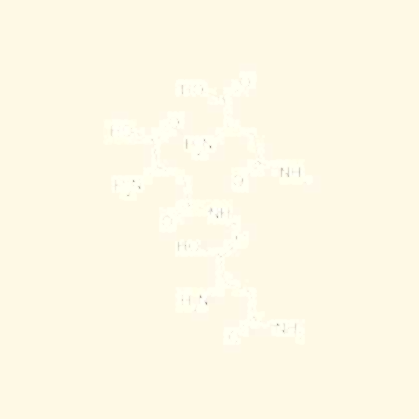 NC(=O)CC(N)C(=O)O.NC(=O)CC(N)C(=O)O.NC(=O)CC(N)C(=O)O